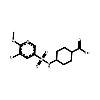 COc1ncc(S(=O)(=O)NC2CCC(C(=O)O)CC2)cc1Br